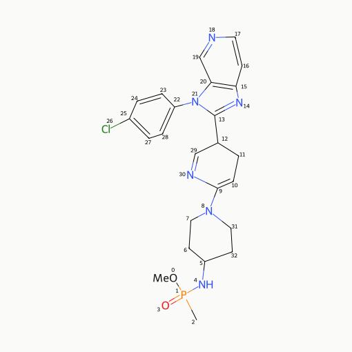 COP(C)(=O)NC1CCN(C2=CCC(c3nc4ccncc4n3-c3ccc(Cl)cc3)C=N2)CC1